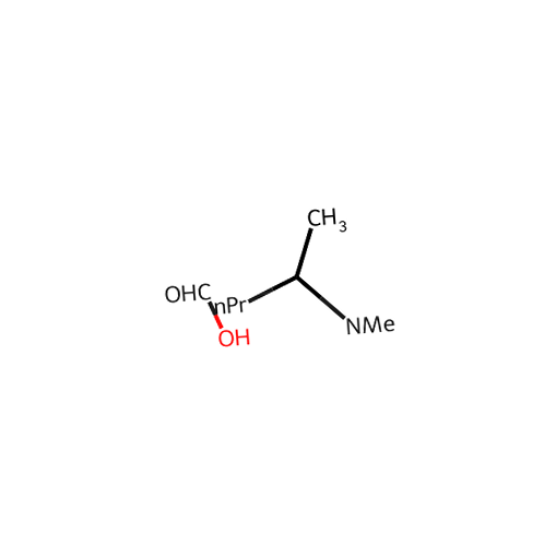 CCCC(C)NC.O=CO